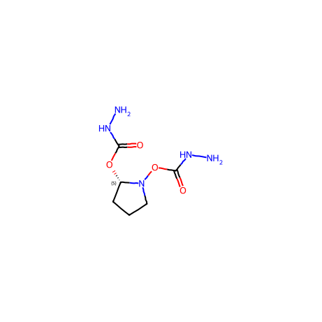 NNC(=O)O[C@H]1CCCN1OC(=O)NN